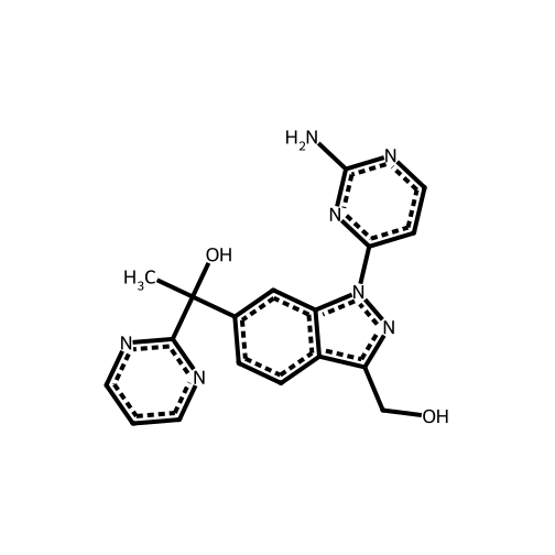 CC(O)(c1ccc2c(CO)nn(-c3ccnc(N)n3)c2c1)c1ncccn1